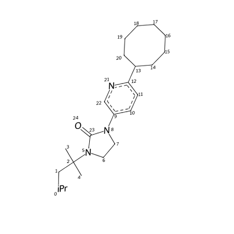 CC(C)CC(C)(C)N1CCN(c2ccc(C3CCCCCCC3)nc2)C1=O